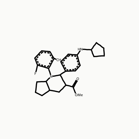 COC(=O)C1CC2CCCC2N(c2c(C)cccc2F)C1c1ccc(NC2CCCC2)cc1